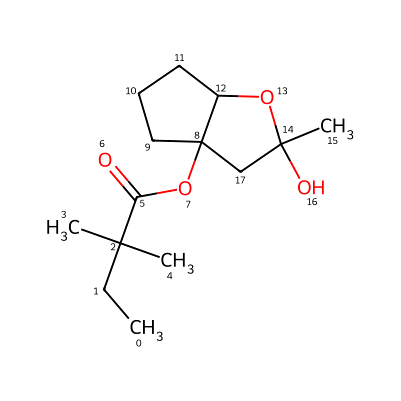 CCC(C)(C)C(=O)OC12CCCC1OC(C)(O)C2